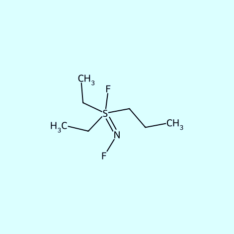 CCCS(F)(CC)(CC)=NF